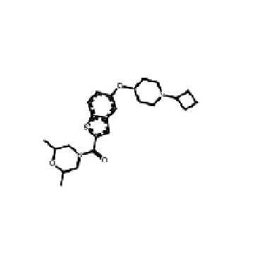 CC1CN(C(=O)c2cc3cc(OC4CCN(C5CCC5)CC4)ccc3s2)CC(C)O1